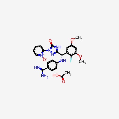 CC(=O)O.COc1cc(OC)c(F)c([C@H](Nc2ccc(C(=N)N)cc2)c2nn(-c3cccc[n+]3[O-])c(=O)[nH]2)c1